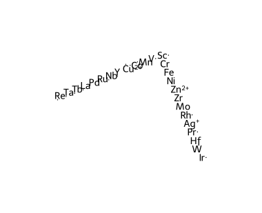 [Ag+].[Co].[Cr].[Cu+2].[Fe].[Hf].[Ir].[La].[Mn].[Mo].[Nb].[Ni].[Pd].[Pr].[Re].[Rh].[Ru].[Sc].[Ta].[Tb].[V].[W].[Y].[Zn+2].[Zr]